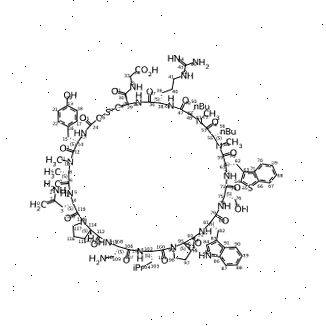 C=C(N)C[C@@H]1NC(=C)[C@H](C)N(C)C(=O)[C@H](Cc2ccc(O)cc2)NC(=O)CSC[C@@H](C(=O)NCC(=O)O)NC(=O)[C@H](CCCNC(=N)N)NC(=O)[C@H](CCCC)N(C)C(=O)[C@H](CCCC)N(C)C(=O)[C@H](Cc2csc3ccccc23)NC(=O)[C@H](CO)NC(=O)[C@H](Cc2c[nH]c3ccccc23)NC(=O)[C@@H]2CCCN2C(=O)[C@H](CC(C)C)NC(=O)[C@H](CN)NC(=O)[C@@H]2CCCN2C1=O